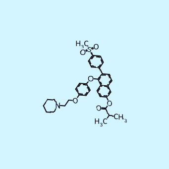 CC(C)C(=O)Oc1ccc2c(Oc3ccc(OCCN4CCCCC4)cc3)c(-c3ccc(S(C)(=O)=O)cc3)ccc2c1